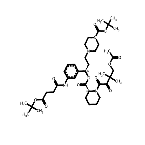 CC(=O)OCC(C)(C)C(=O)C(=O)N1CCCC[C@H]1C(=O)O[C@H](CCN1CCN(C(=O)OC(C)(C)C)CC1)c1cccc(NC(=O)CCC(=O)OC(C)(C)C)c1